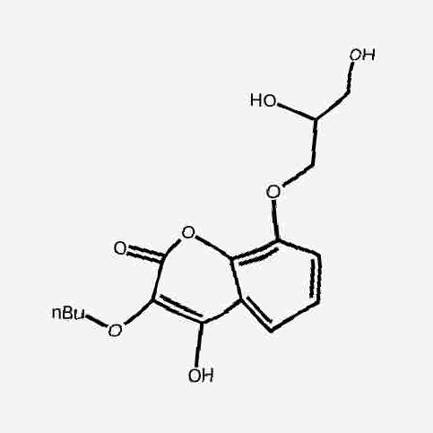 CCCCOc1c(O)c2cccc(OCC(O)CO)c2oc1=O